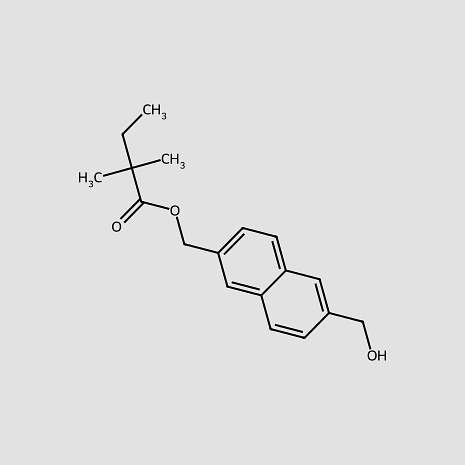 CCC(C)(C)C(=O)OCc1ccc2cc(CO)ccc2c1